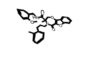 COc1ccccc1CNC(=O)C1(C)COc2c(oc3ccccc23)C(=O)N1CCCc1ccccc1C